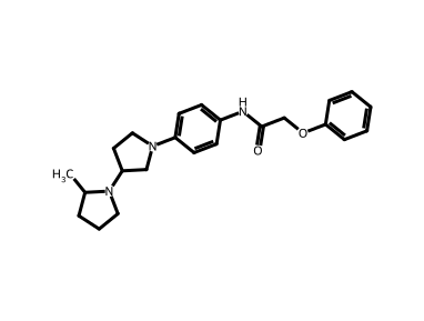 CC1CCCN1C1CCN(c2ccc(NC(=O)COc3ccccc3)cc2)C1